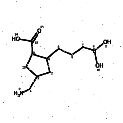 NCC1CC(CCCB(O)O)C(C(=O)O)C1